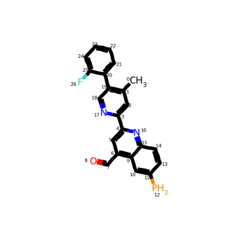 Cc1cc(-c2cc(C=O)c3cc(P)ccc3n2)ncc1-c1ccccc1F